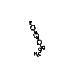 CCOC(=O)c1ccc(N2CCN(c3ccc(F)cc3)CC2)cc1